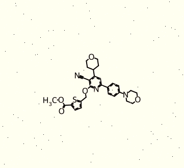 COC(=O)c1ccc(COc2nc(-c3ccc(N4CCOCC4)cc3)cc(C3CCOCC3)c2C#N)s1